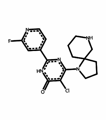 O=c1[nH]c(-c2ccnc(F)c2)nc(N2CCCC23CCCNC3)c1Cl